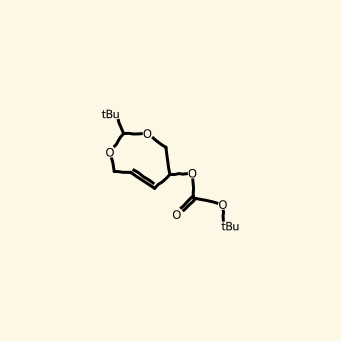 CC(C)(C)OC(=O)OC1/C=C/COC(C(C)(C)C)OC1